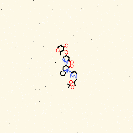 Cc1occc(=O)c1Oc1cnn(C(CC2CCCC2)C(=O)Nc2ccn(CC3COC(C)(C)O3)n2)c(=O)c1